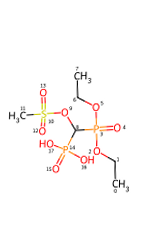 CCOP(=O)(OCC)C(OS(C)(=O)=O)P(=O)(O)O